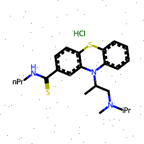 CCCNC(=S)c1ccc2c(c1)N(C(C)CN(C)C(C)C)c1ccccc1S2.Cl